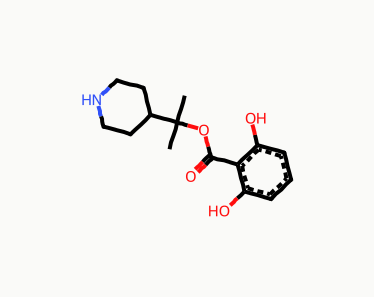 CC(C)(OC(=O)c1c(O)cccc1O)C1CCNCC1